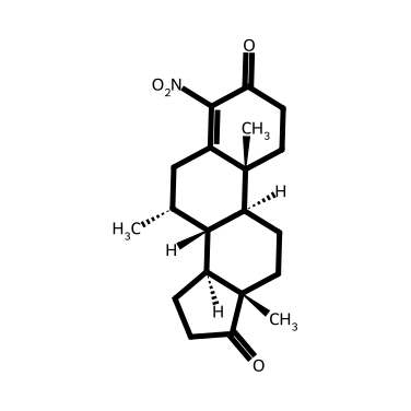 C[C@@H]1CC2=C([N+](=O)[O-])C(=O)CC[C@]2(C)[C@H]2CC[C@]3(C)C(=O)CC[C@H]3[C@H]12